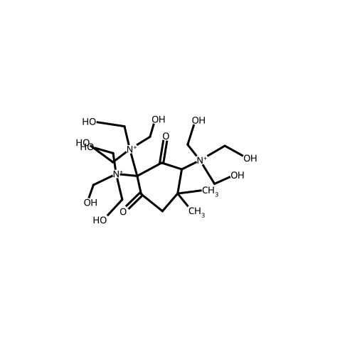 CC1(C)CC(=O)C([N+](CO)(CO)CO)([N+](CO)(CO)CO)C(=O)C1[N+](CO)(CO)CO